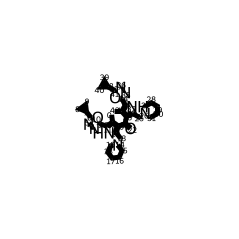 Cc1c(-c2nnc(C3CC3)o2)[nH]c(CN2CCCCC2)c1C(=O)c1c(CN2CCCCC2)[nH]c(-c2nnc(C3CC3)o2)c1C